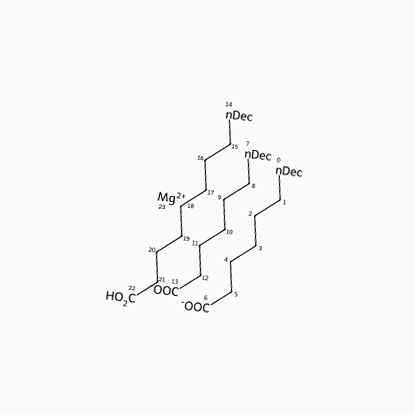 CCCCCCCCCCCCCCCC(=O)[O-].CCCCCCCCCCCCCCCC(=O)[O-].CCCCCCCCCCCCCCCCCC(=O)O.[Mg+2]